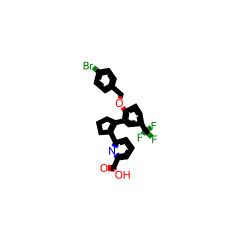 O=C(O)c1cccc(C2=C(c3cc(C(F)(F)F)ccc3OCc3ccc(Br)cc3)CCC2)n1